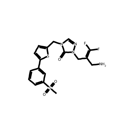 CS(=O)(=O)c1cccc(-c2ccc(Cn3cnn(CC(CN)=C(F)F)c3=O)s2)c1